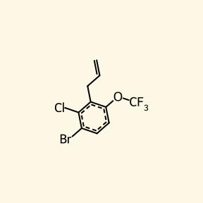 C=CCc1c(OC(F)(F)F)ccc(Br)c1Cl